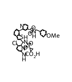 COc1ccc(CNS(=O)(=O)c2ccnc(-c3cccc4cc(C(NS(=O)(=O)C5CC5)c5nc(NC(=O)O)ccc5Cl)sc34)c2)cc1